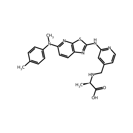 Cc1ccc(N(C)c2ccc3nc(Nc4cc(CN[C@H](C)C(=O)O)ccn4)sc3n2)cc1